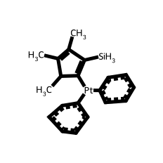 CC1=C(C)C(C)[C]([Pt]([c]2ccccc2)[c]2ccccc2)=C1[SiH3]